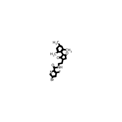 Cc1cc(C)c(C2C(=O)CC(CCNC(=O)c3ncc(Br)cc3F)C2=O)c(C)c1